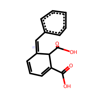 O=C(O)C1=CC=C/C(=C/c2ccccc2)C1C(=O)O